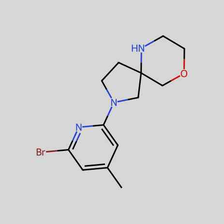 Cc1cc(Br)nc(N2CCC3(COCCN3)C2)c1